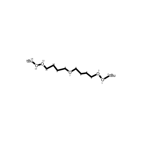 CC(C)(C)OOCCCCOCCCCOOC(C)(C)C